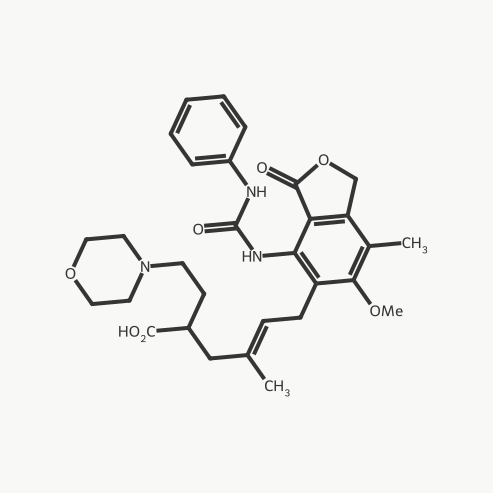 COc1c(C)c2c(c(NC(=O)Nc3ccccc3)c1C/C=C(\C)CC(CCN1CCOCC1)C(=O)O)C(=O)OC2